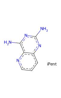 CCC[C@H](C)c1ccnc2c(N)nc(N)nc12